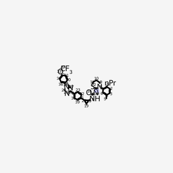 CCCc1ccc(C)cc1N1CCCS/C1=N\C(=O)NC1CC1c1ccc(-c2ncn(-c3ccc(OC(F)(F)F)cc3)n2)cc1